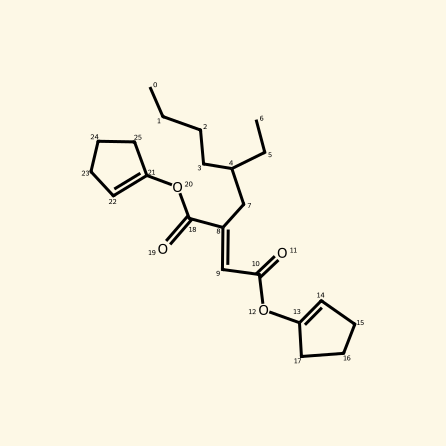 CCCCC(CC)C/C(=C\C(=O)OC1=CCCC1)C(=O)OC1=CCCC1